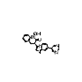 O=C(NO)C(Cc1ccccc1)c1cnc2cc(-c3cncnc3)ccn12